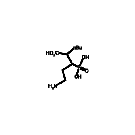 CCCCC(C(=O)O)C(CCN)P(=O)(O)O